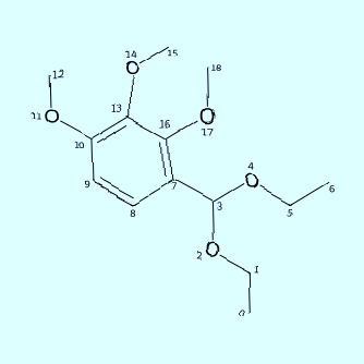 CCOC(OCC)c1ccc(OC)c(OC)c1OC